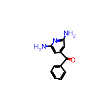 Nc1cc(C(=O)c2ccccc2)cc(N)n1